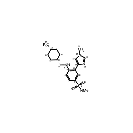 CNS(=O)(=O)c1ccc(NC[C@H]2CC[C@@H](C(F)(F)F)CC2)c(-c2cn(C)cn2)c1